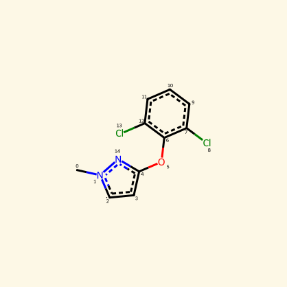 Cn1[c]cc(Oc2c(Cl)cccc2Cl)n1